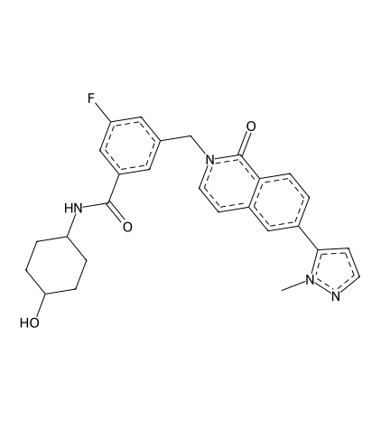 Cn1nccc1-c1ccc2c(=O)n(Cc3cc(F)cc(C(=O)NC4CCC(O)CC4)c3)ccc2c1